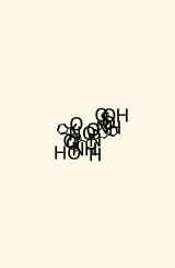 CC(C)C[C@@H](C(=O)N[C@H](Cc1ccccc1)C(=O)NCS(=O)(=O)O)C(CN1C(=O)c2ccccc2C1=O)C(=O)NO